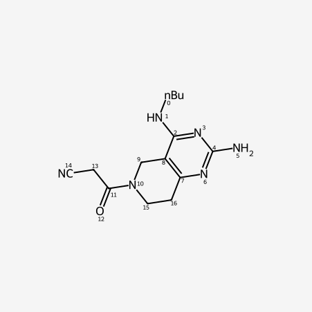 CCCCNc1nc(N)nc2c1CN(C(=O)CC#N)CC2